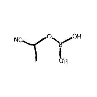 CC(C#N)OB(O)O